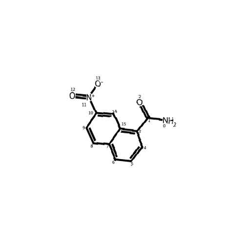 NC(=O)c1cccc2ccc([N+](=O)[O-])cc12